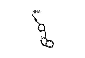 CC(=O)NCC#Cc1ccc(Cc2nccc3ccccc23)cc1